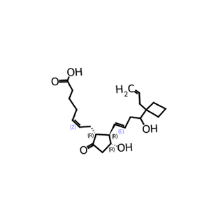 C=CCC1(C(O)C/C=C/[C@H]2[C@H](O)CC(=O)[C@@H]2C/C=C\CCCC(=O)O)CCC1